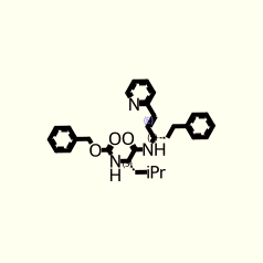 CC(C)C[C@H](NC(=O)OCc1ccccc1)C(=O)N[C@H](/C=C/c1ccccn1)CCc1ccccc1